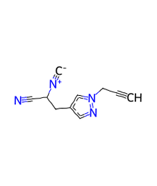 [C-]#[N+]C(C#N)Cc1cnn(CC#C)c1